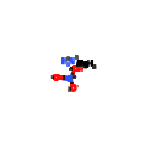 N.O=[N+]([O-])O.[MgH2]